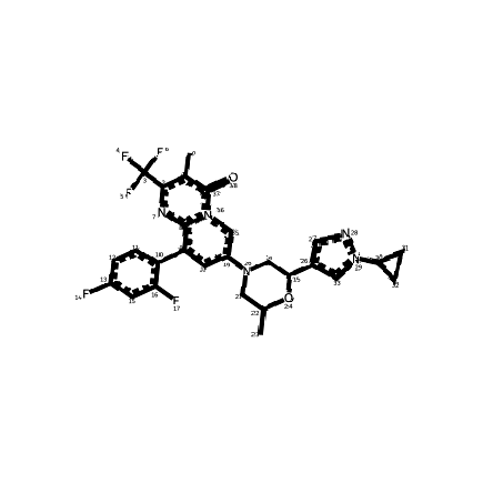 Cc1c(C(F)(F)F)nc2c(-c3ccc(F)cc3F)cc(N3CC(C)OC(c4cnn(C5CC5)c4)C3)cn2c1=O